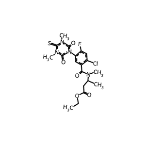 CCOC(=O)CC(C)N(C)C(=O)c1cc(-n2c(=O)n(C)c(=S)n(C)c2=O)c(F)cc1Cl